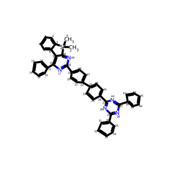 C[Si]1(C)c2ccccc2-c2c(-c3ccccc3)nc(-c3ccc(-c4ccc(-c5nc(-c6ccccc6)nc(-c6ccccc6)n5)cc4)cc3)nc21